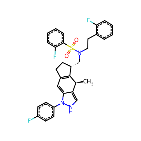 C[C@H]1C2=CNN(c3ccc(F)cc3)C2=CC2=C1[C@@H](CN(CCc1ccccc1F)S(=O)(=O)c1ccccc1F)CC2